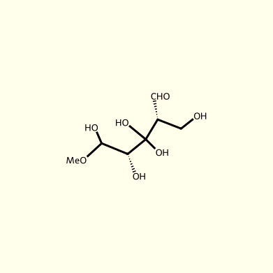 COC(O)[C@@H](O)C(O)(O)[C@H](C=O)CO